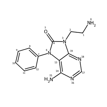 NCCn1c(=O)n(-c2ccccc2)c2c(N)ncnc21